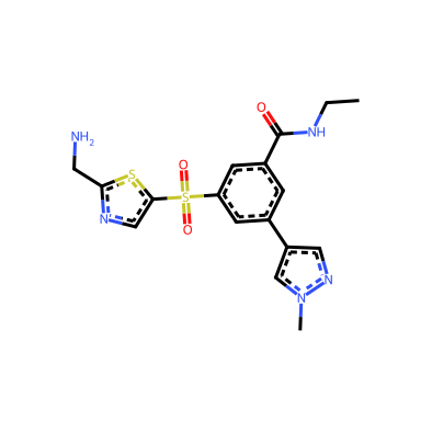 CCNC(=O)c1cc(-c2cnn(C)c2)cc(S(=O)(=O)c2cnc(CN)s2)c1